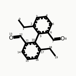 CCc1cccc(C=O)c1-c1c(C=O)cccc1CC